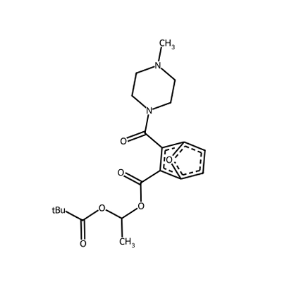 CC(OC(=O)c1c(C(=O)N2CCN(C)CC2)c2ccc1o2)OC(=O)C(C)(C)C